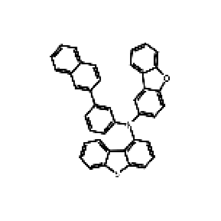 c1cc(-c2ccc3ccccc3c2)cc(N(c2ccc3oc4ccccc4c3c2)c2cccc3sc4ccccc4c23)c1